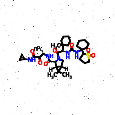 CCC[C@H](NC(=O)[C@@H]1[C@@H]2[C@H](CN1C(=O)[C@@H](NC(=O)NC1(C3CCCS3(=O)=O)CCCCC1)C1(C)CCCCC1)C2(C)C)C(=O)C(=O)NC1CC1